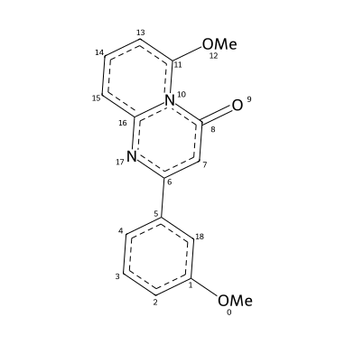 COc1cccc(-c2cc(=O)n3c(OC)cccc3n2)c1